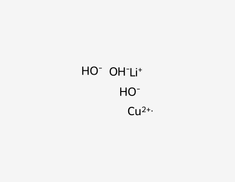 [Cu+2].[Li+].[OH-].[OH-].[OH-]